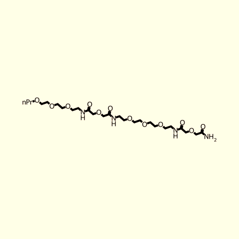 CCCOCCOCCOCCNC(=O)COCC(=O)NCCOCCOCCOCCNC(=O)COCC(N)=O